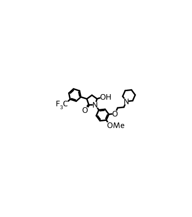 COc1ccc(N2C(=O)C(c3cccc(C(F)(F)F)c3)CC2O)cc1OCCN1CCCCC1